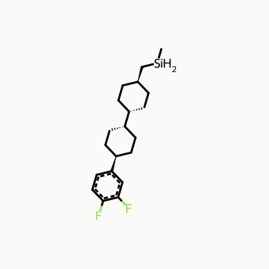 C[SiH2]C[C@H]1CC[C@H]([C@H]2CC[C@H](c3ccc(F)c(F)c3)CC2)CC1